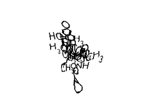 CCCC1O[C@@H]2C[C@H]3[C@@H]4CCC5=CC(=O)C=C[C@]5(C)[C@H]4[C@@H](O)C[C@]3(C)[C@]2(C(=O)CC(C)(C)OP(=O)(O)OC(C)(C)CCNC(=O)OCC2C3CCC#CCCC32)O1